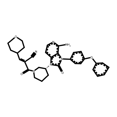 N#CC(=CC1CCOCC1)C(=O)N1CCC[C@@H](n2c(=O)n(-c3ccc(Oc4ccccc4)cc3)c3c(N)nccc32)C1